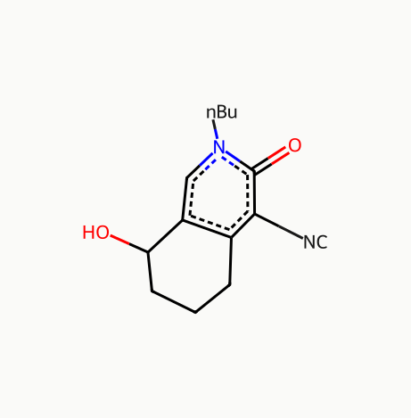 [C-]#[N+]c1c2c(cn(CCCC)c1=O)C(O)CCC2